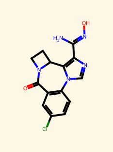 N/C(=N\O)c1ncn2c1C1CCN1C(=O)c1cc(Cl)ccc1-2